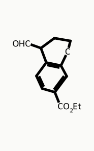 CCOC(=O)c1ccc2c(c1)CCCC2C=O